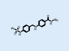 CC(C)S(=O)(=O)Nc1ccc(CNc2ccc(C(=O)NC(C)(C)C)cc2)cc1